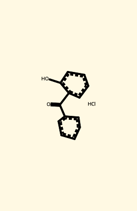 Cl.O=C(c1ccccc1)c1ccccc1O